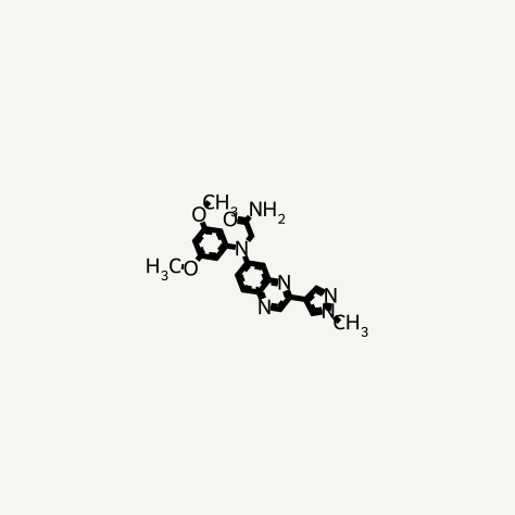 COc1cc(OC)cc(N(CC(N)=O)c2ccc3ncc(-c4cnn(C)c4)nc3c2)c1